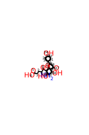 N[C@@H](CCC(=O)O)C(=O)c1c(O)cc(O)c2c(=O)cc(-c3ccc(O)cc3)oc12